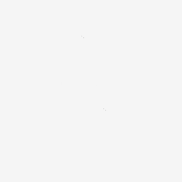 CS(=O)(=O)N1CCC(c2cc(F)c(OC3CCN(Cc4ccc(C(F)(F)F)cc4)CC3)c(F)c2)CC1